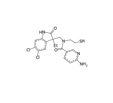 CCC1(CN(CCS)C(=O)c2ccc(N)nc2)C(=O)Nc2cc(Cl)c(Cl)cc21